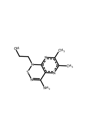 Cc1nc2c(nc1C)N(CCO)SN=C2N